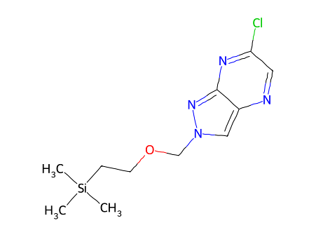 C[Si](C)(C)CCOCn1cc2ncc(Cl)nc2n1